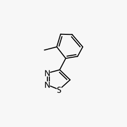 Cc1ccccc1-c1csnn1